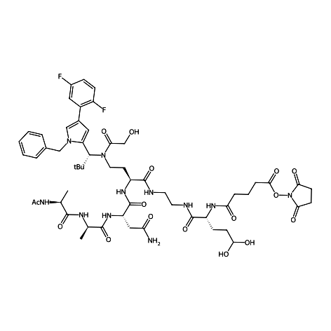 CC(=O)N[C@@H](C)C(=O)N[C@H](C)C(=O)N[C@@H](CC(N)=O)C(=O)N[C@@H](CCN(C(=O)CO)[C@@H](c1cc(-c2cc(F)ccc2F)cn1Cc1ccccc1)C(C)(C)C)C(=O)NCCNC(=O)[C@@H](CCC(O)O)NC(=O)CCCC(=O)ON1C(=O)CCC1=O